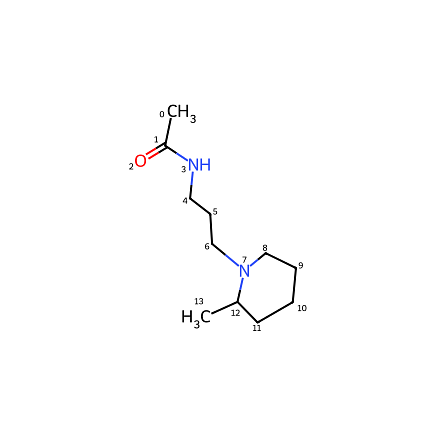 CC(=O)NCCCN1CCCCC1C